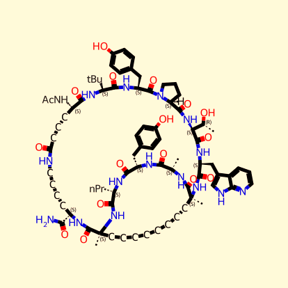 CCC[C@@H]1NC(=O)[C@H](Cc2ccc(O)cc2)NC(=O)[C@H](C)NC(=O)[C@]2(C)CCCCCCCC[C@](C)(NC1=O)C(=O)N[C@H](C(N)=O)CCCCNC(=O)CCC[C@H](NC(C)=O)C(=O)N[C@@H](C(C)(C)C)C(=O)N[C@@H](Cc1ccc(O)cc1)C(=O)N1CCC[C@H]1C(=O)N[C@@H]([C@@H](C)O)C(=O)N[C@@H](Cc1c[nH]c3ncccc13)C(=O)N2